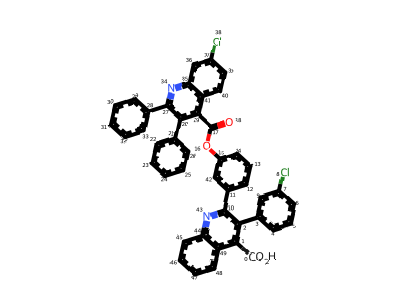 O=C(O)c1c(-c2cccc(Cl)c2)c(-c2cccc(OC(=O)c3c(-c4ccccc4)c(-c4ccccc4)nc4cc(Cl)ccc34)c2)nc2ccccc12